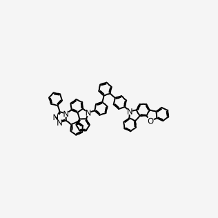 c1ccc(-c2nnc(-c3ccccc3)n2-c2cccc3c2c2ccccc2n3-c2cccc(-c3ccccc3-c3ccc(-n4c5ccccc5c5c6oc7ccccc7c6ccc54)cc3)c2)cc1